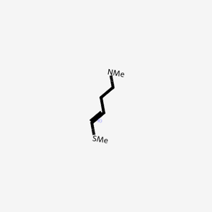 CNCC/C=C/SC